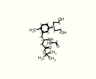 Cc1ccc(N(CCO)CCO)cc1C[C@H](CC(=O)OC(C)(C)C)NBC=O